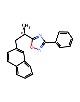 C[C@H](Cc1ccc2ccccc2c1)c1nc(-c2ccccc2)no1